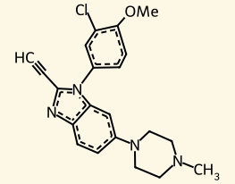 C#Cc1nc2ccc(N3CCN(C)CC3)cc2n1-c1ccc(OC)c(Cl)c1